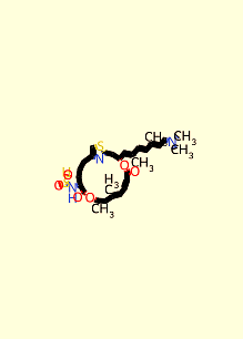 CC(/C=C/C(C)=C/C1Cc2nc(cs2)CCCC(N[SH](=O)=O)C(=O)OC(C)C/C(C)=C/C=C\C(=O)O1)=C\CN(C)C